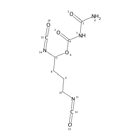 NC(=O)NC(=O)OC(CCCN=C=O)N=C=O